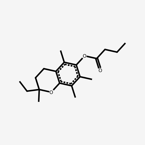 CCCC(=O)Oc1c(C)c(C)c2c(c1C)CCC(C)(CC)O2